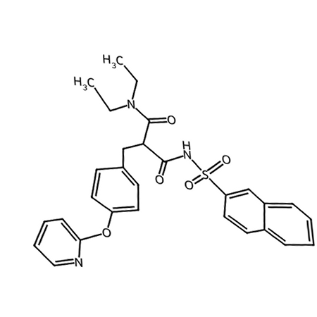 CCN(CC)C(=O)C(Cc1ccc(Oc2ccccn2)cc1)C(=O)NS(=O)(=O)c1ccc2ccccc2c1